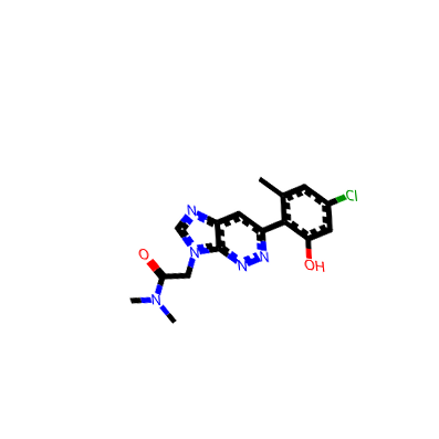 Cc1cc(Cl)cc(O)c1-c1cc2ncn(CC(=O)N(C)C)c2nn1